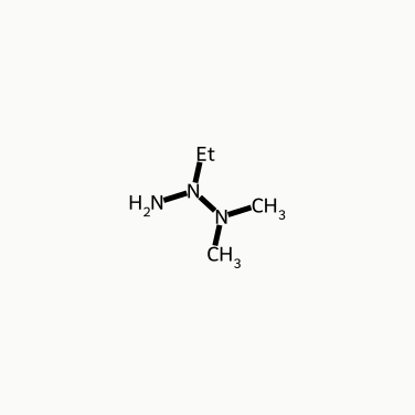 CCN(N)N(C)C